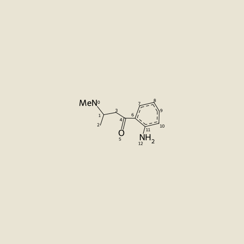 CNC(C)CC(=O)c1ccccc1N